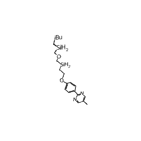 CCC(C)C[SiH2]COC[SiH2]CCOc1ccc(-c2ncc(C)cn2)cc1